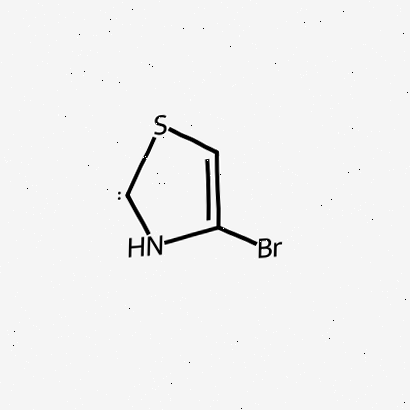 BrC1=CS[C]N1